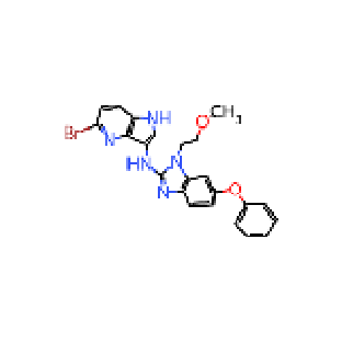 COCCn1c(Nc2c[nH]c3ccc(Br)nc23)nc2ccc(Oc3ccccc3)cc21